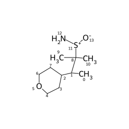 CC(C1CCOCC1)C(C)(C)[S+](N)[O-]